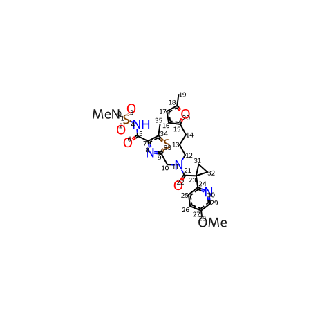 CNS(=O)(=O)NC(=O)c1nc(CN(CCCc2ccc(C)o2)C(=O)C2(c3ccc(OC)cn3)CC2)sc1C